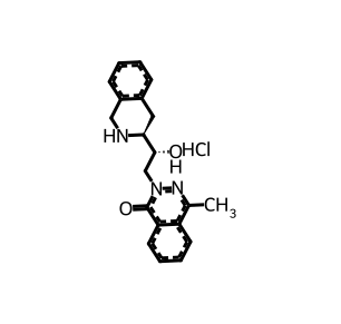 Cc1nn(C[C@@H](O)[C@@H]2Cc3ccccc3CN2)c(=O)c2ccccc12.Cl